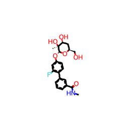 CNC(=O)c1cccc(-c2ccc(O[C@H]3O[C@H](CO)C[C@H](O)[C@]3(C)O)cc2F)c1